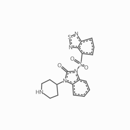 O=c1n(C2CCNCC2)c2ccccc2n1S(=O)(=O)c1cccc2nsnc12